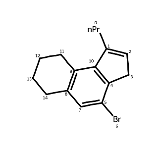 CCCC1=CCc2c(Br)cc3c(c21)CCCC3